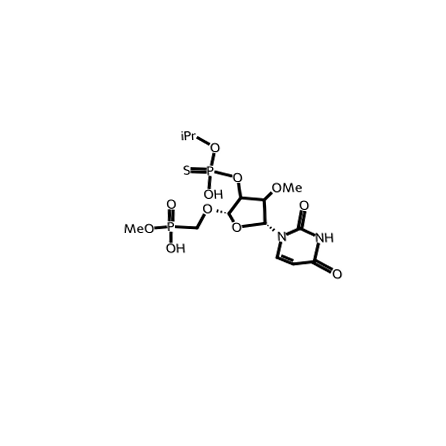 COC1C(OP(O)(=S)OC(C)C)[C@@H](OCP(=O)(O)OC)O[C@H]1n1ccc(=O)[nH]c1=O